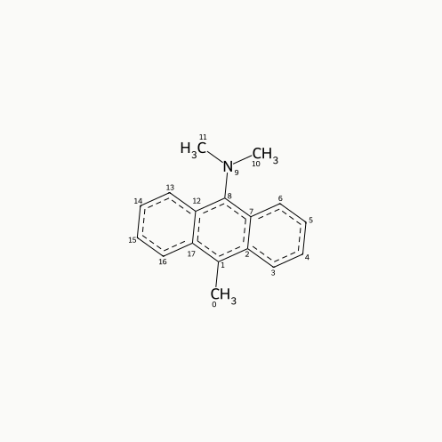 Cc1c2ccccc2c(N(C)C)c2ccccc12